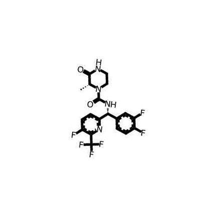 C[C@@H]1C(=O)NCCN1C(=O)N[C@H](c1ccc(F)c(F)c1)c1ccc(F)c(C(F)(F)F)n1